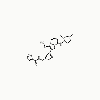 CN1CC[C@@H](Nc2cccn3c(SC(F)(F)F)c(-c4noc(CNC(=O)c5ccns5)n4)cc23)[C@@H](F)C1